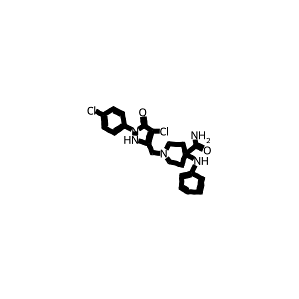 NC(=O)C1(Nc2ccccc2)CCN(Cc2[nH]n(-c3ccc(Cl)cc3)c(=O)c2Cl)CC1